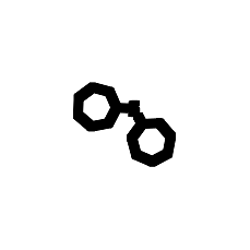 C1CCCC(SC2CCCCCC2)CC1